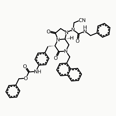 N#CCN(C(=O)NCc1ccccc1)N1CC(=O)N2[C@@H](Cc3ccc(NC(=O)OCc4ccccc4)cc3)C(=O)N(Cc3cccc4ccccc34)C[C@@H]21